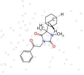 CN1C(=O)N(CC(=O)c2ccccc2)C(=O)C1(C)[C@H]1C[C@H]2CC[C@@H]1CC2